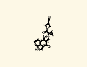 N#CC1CN(C(=O)C2(n3cc4c(n3)-c3ccnc5[nH]cc(c35)C4=O)CC2)C1